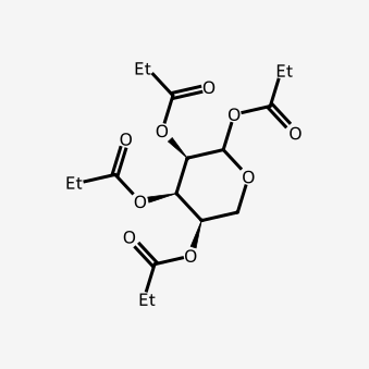 CCC(=O)OC1OC[C@@H](OC(=O)CC)[C@@H](OC(=O)CC)[C@H]1OC(=O)CC